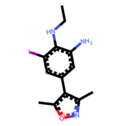 CCNc1c(N)cc(-c2c(C)noc2C)cc1I